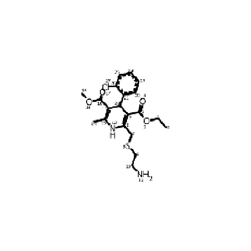 CCOC(=O)C1=C(CSCCN)NC(C)=C(C(=O)OC)C1c1ccccc1Cl